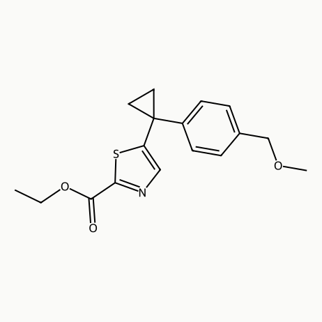 CCOC(=O)c1ncc(C2(c3ccc(COC)cc3)CC2)s1